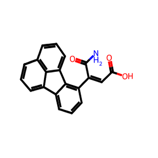 NC(=O)C(=CC(=O)O)c1cccc2c1-c1cccc3cccc-2c13